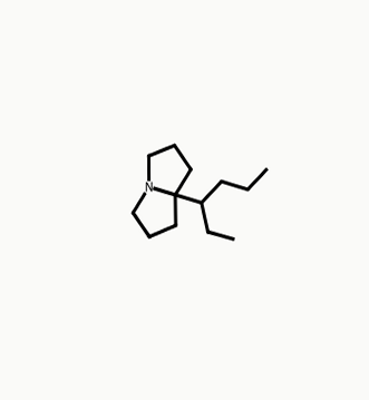 CCCC(CC)C12CCCN1CCC2